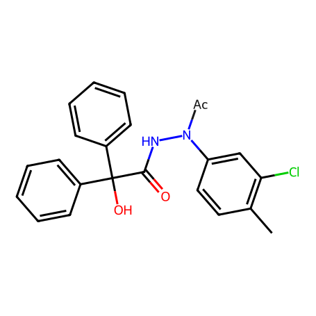 CC(=O)N(NC(=O)C(O)(c1ccccc1)c1ccccc1)c1ccc(C)c(Cl)c1